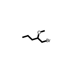 CCCC(CBr)OC